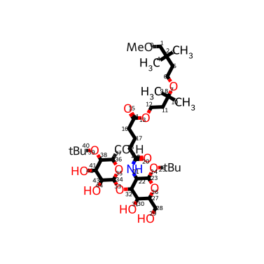 COCC(C)(C)CCOC(C)(C)CCOC(=O)CCCC(=O)NC1C(OC(C)(C)C)OC(CO)C(O)C1OC1OC(C(=O)O)C(OC(C)(C)C)C(O)C1O